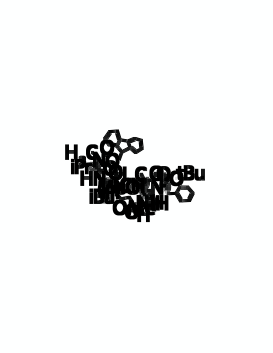 CC[C@H](C)C(C(CC(=O)N1[C@H]2C[C@H]2C[C@H]1[C@H](OC)[C@@H](C)C(=O)N[C@@H](Cc1ccccc1)C(=O)OC(C)(C)C)OC)N(C)C(=O)[C@@H](NC(=O)[C@H](C(C)C)N(C)C(=O)OCC1c2ccccc2-c2ccccc21)C(C)C